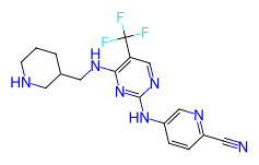 N#Cc1ccc(Nc2ncc(C(F)(F)F)c(NCC3CCCNC3)n2)cn1